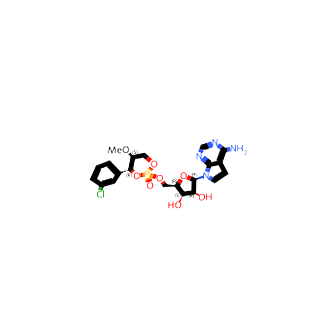 CO[C@H]1COP(=O)(OC[C@H]2O[C@@H](n3ccc4c(N)ncnc43)[C@H](O)[C@@H]2O)O[C@@H]1c1cccc(Cl)c1